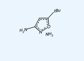 CC(C)(C)c1cc(N)no1.N